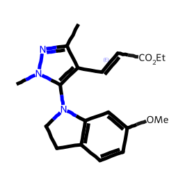 CCOC(=O)/C=C/c1c(C)nn(C)c1N1CCc2ccc(OC)cc21